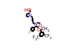 C[C@@H](OC1OCCN(CC#CCN2CCC[C@H]2CO)C1c1ccc(F)cc1)c1cc(C(F)(F)F)cc(C(F)(F)F)c1